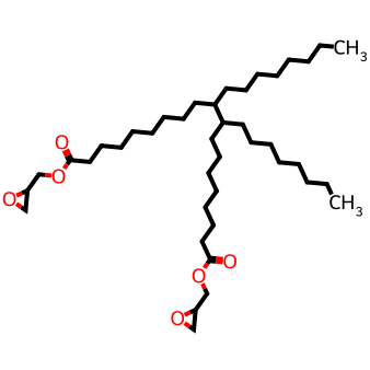 CCCCCCCCC(CCCCCCCCC(=O)OCC1CO1)C(CCCCCCCC)CCCCCCCC(=O)OCC1CO1